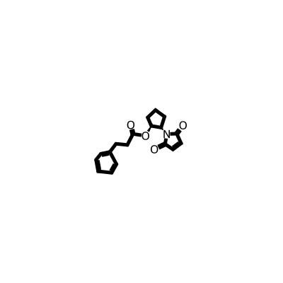 O=C(CCc1ccccc1)O[C@H]1CCC[C@@H]1N1C(=O)C=CC1=O